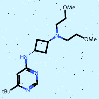 COCCN(CCOC)[C@H]1C[C@H](Nc2cc(C(C)(C)C)ncn2)C1